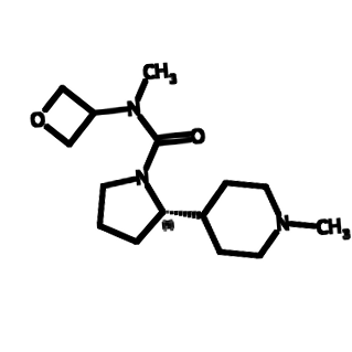 CN1CCC([C@@H]2CCCN2C(=O)N(C)C2COC2)CC1